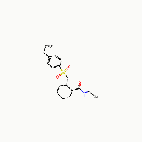 N#CCNC(=O)[C@H]1CCCC[C@@H]1CS(=O)(=O)c1ccc(CC(=O)O)cc1